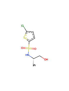 CC(C)[C@@H](CO)NS(=O)(=O)c1ccc(Cl)s1